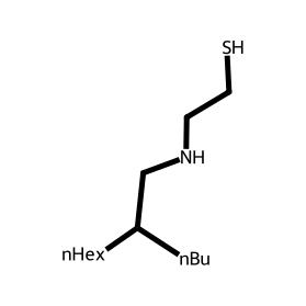 CCCCCCC(CCCC)CNCCS